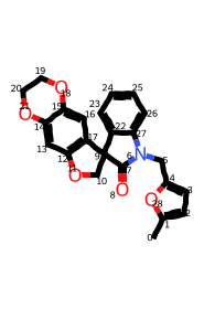 Cc1ccc(CN2C(=O)C3(COc4cc5c(cc43)OCCO5)c3ccccc32)o1